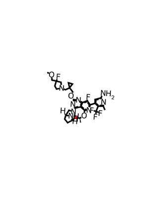 COCC1(F)CCN(CC2(COc3nc4c5c(nc(-c6cc(N)nc(C)c6C(F)(F)F)c(F)c5n3)O[C@@H](C)[C@@H]3[C@@H]5CC[C@H](CN43)N5)CC2)C1